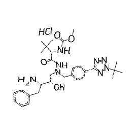 COC(=O)N[C@H](C(=O)NN(Cc1ccc(-c2nnn(C(C)(C)C)n2)cc1)C[C@H](O)[C@@H](N)Cc1ccccc1)C(C)(C)C.Cl